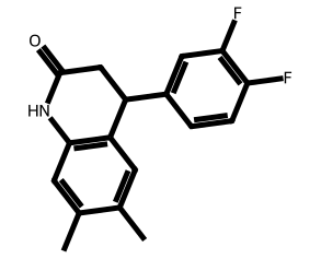 Cc1cc2c(cc1C)C(c1ccc(F)c(F)c1)CC(=O)N2